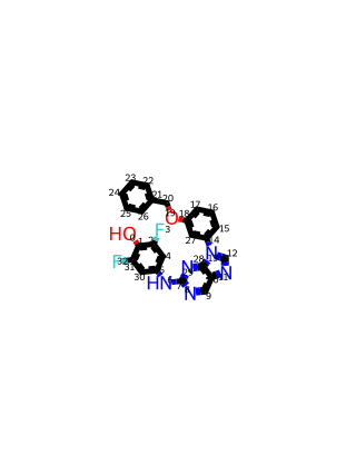 Oc1c(F)cc(Nc2ncc3ncn(-c4cccc(OCc5ccccc5)c4)c3n2)cc1F